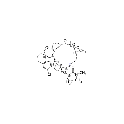 CC[C@@H](O[C@H]1/C=C/CC[C@@H](C)S(=O)(=O)NC(=O)c2ccc3c(c2)N(C[C@@H]2CC[C@H]21)C[C@@]1(CCCc2cc(Cl)ccc21)CO3)C(=O)N(C)C